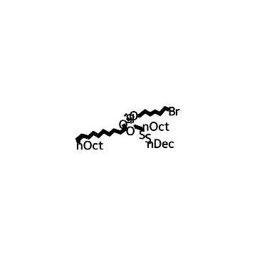 CCCCCCCC/C=C\CCCCCCCC(OCC(CCCCCCCC)SSCCCCCCCCCC)O[Si](C)(C)OCCCCCCBr